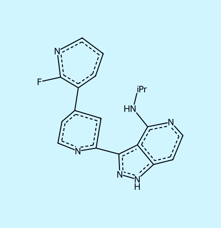 CC(C)Nc1nccc2[nH]nc(-c3cc(-c4cccnc4F)ccn3)c12